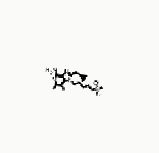 Cc1nc(N)c2nc(CC3CC3)n(CCCCCS(C)(=O)=O)c2c1C